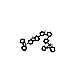 c1ccc(-n2c(-c3cccc(-c4cccc5oc6ccc(-c7ccc8c(c7)sc7cc(-n9c%10ccccc%10c%10ccccc%109)ccc78)cc6c45)c3)nc3ccccc32)cc1